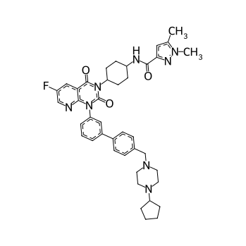 Cc1cc(C(=O)NC2CCC(n3c(=O)c4cc(F)cnc4n(-c4cccc(-c5ccc(CN6CCN(C7CCCC7)CC6)cc5)c4)c3=O)CC2)nn1C